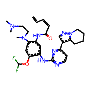 C=C/C=C\C(=O)Nc1cc(Nc2nccc(-c3cnn4c3CCCC4)n2)c(OC(F)F)cc1N(C)CCN(C)C